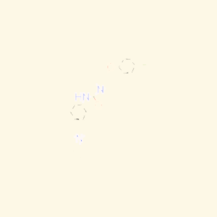 O=C(Nc1ccc2c(c1)CCN(C1CCC1)CC2)N1CCC(Oc2ccc(F)cc2)CC1